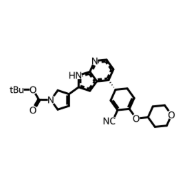 CC(C)(C)OC(=O)N1CC=C(c2cc3c([C@H]4C=C(C#N)C(OC5CCOCC5)=CC4)ccnc3[nH]2)C1